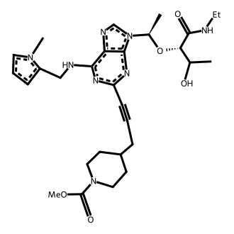 CCNC(=O)[C@@H](O[C@H](C)n1cnc2c(NCc3cccn3C)nc(C#CCC3CCN(C(=O)OC)CC3)nc21)C(C)O